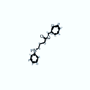 O=C(CCCNc1ccccc1)OCc1ccccc1